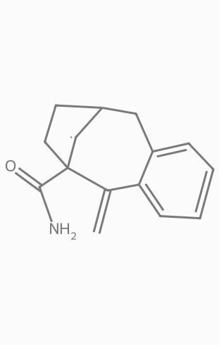 C=C1c2ccccc2CC2[CH]C1(C(N)=O)CC2